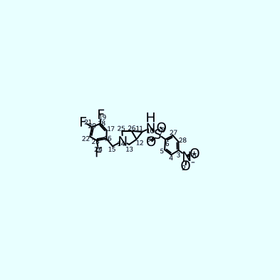 O=[N+]([O-])c1ccc(S(=O)(=O)NC2C3CN(Cc4cc(F)c(F)cc4F)CC32)cc1